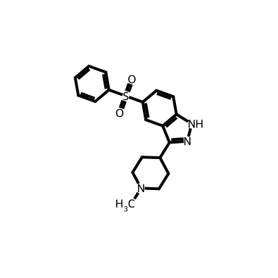 CN1CCC(c2n[nH]c3ccc(S(=O)(=O)c4ccccc4)cc23)CC1